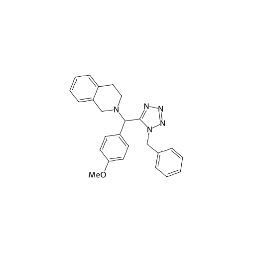 COc1ccc(C(c2nnnn2Cc2ccccc2)N2CCc3ccccc3C2)cc1